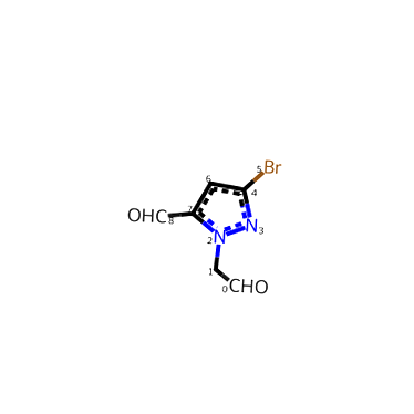 O=CCn1nc(Br)cc1C=O